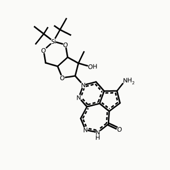 CC1(O)C2O[Si](C(C)(C)C)(C(C)(C)C)OCC2OC1n1cc2c(N)cc3c(=O)[nH]ncc(n1)c23